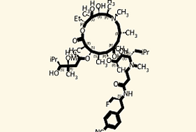 CC[C@H]1OC(=O)[C@H](C)[C@@H](O[C@H](C)C[C@@](C)(OC)[C@@H](O)C(C)C)[C@H](C)[C@@H](O[C@H](C)[C@H](O)[C@H](CC(C)C)N(C)CCC(=O)N[C@H](CF)Cc2ccc(C#N)cc2)[C@](C)(O)C[C@@H](C)CN(C)[C@H](C)[C@@H](O)[C@]1(C)O